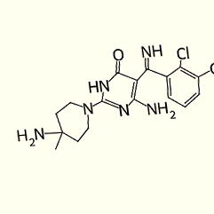 CC1(N)CCN(c2nc(N)c(C(=N)c3cccc(Cl)c3Cl)c(=O)[nH]2)CC1